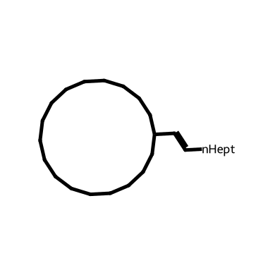 CCCCCCCC=CC1CCCCCCCCCCCCCCCCC1